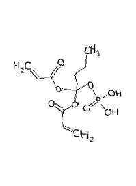 C=CC(=O)OC(CCC)(OC(=O)C=C)OP(=O)(O)O